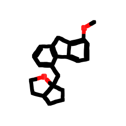 COc1cccc2c1Cc1cccc(CC34CCCC3CCO4)c1-2